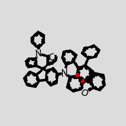 c1ccc(-c2ccccc2-c2ccccc2N(c2ccc3c(c2)C2(c4ccccc4-3)c3ccccc3N(c3ccccc3)c3ccccc32)c2ccc3oc4ccccc4c3c2)cc1